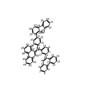 c1cc(-c2cc3ccccc3c3ccccc23)cc(N(c2ccc(-c3cccc4c3oc3ccccc34)cc2)c2cc3ccccc3c3ccccc23)c1